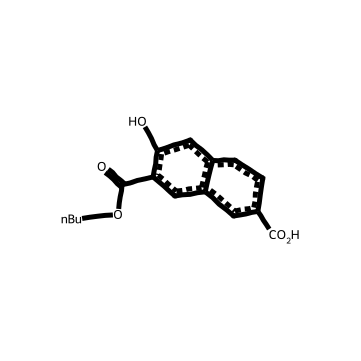 CCCCOC(=O)c1cc2cc(C(=O)O)ccc2cc1O